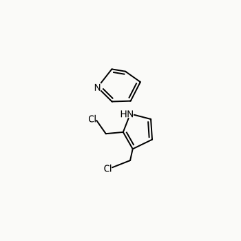 ClCc1cc[nH]c1CCl.c1ccncc1